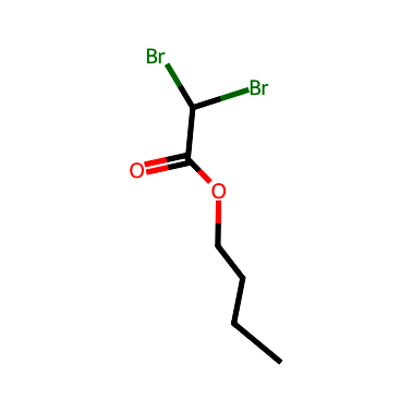 CCCCOC(=O)C(Br)Br